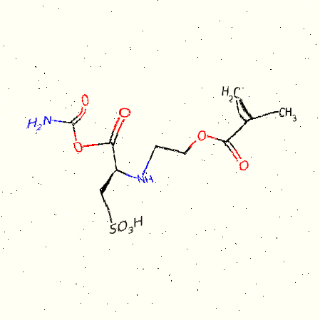 C=C(C)C(=O)OCCN[C@@H](CS(=O)(=O)O)C(=O)OC(N)=O